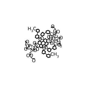 Cc1cccc(-c2cccc(Oc3cc4c5c(cc(Oc6cccc(-c7cccc(C)c7)c6)c6c7c(Oc8cccc(-c9cccc(C)c9)c8)cc8c9c(cc(Oc%10cccc(-c%11cccc(C)c%11)c%10)c(c3c56)c97)C(=O)N(C(C(=O)N(CCC(=O)OCC3CO3)CCC(=O)OCC3CO3)C(C)C)C8=O)C(=O)N(C(C(=O)N(CCC(=O)OCC3CO3)CCC(=O)OCC3CO3)C(C)C)C4=O)c2)c1